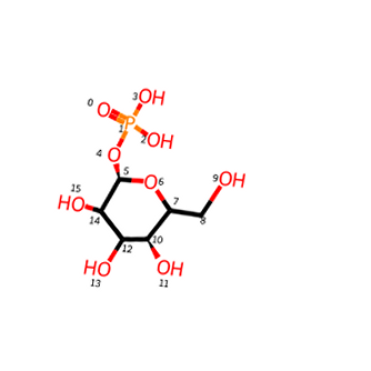 O=P(O)(O)O[C@H]1OC(CO)[C@@H](O)C(O)C1O